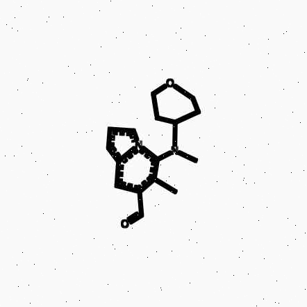 Cc1c(C=O)cc2cccn2c1N(C)C1CCOCC1